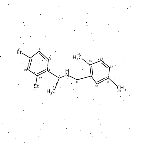 CCc1ccc(C(C)NCc2cc(C)ccc2C)c(CC)c1